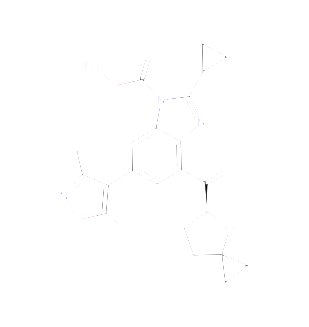 Cc1noc(C)c1-c1cc(C(=O)[C@@H]2CCC3(CC3)O2)c2nc(C3CC3)n(C(=O)OC(C)(C)C)c2c1